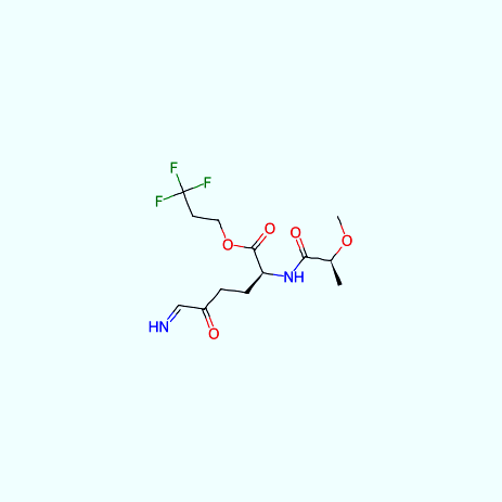 CO[C@@H](C)C(=O)N[C@@H](CCC(=O)C=N)C(=O)OCCC(F)(F)F